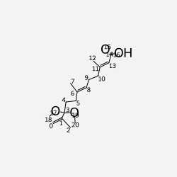 C=C(C)C(CC/C(C)=C/CC/C(C)=C/C(=O)O)(OC)OC